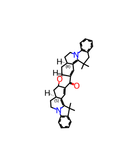 CC1(C)Cc2ccccc2N2CC[C@@H]3C[C@@H]4OC5C[C@@H]6CCN7C(=C6C=C5C(=O)C4=CC3=C21)C(C)(C)c1ccccc17